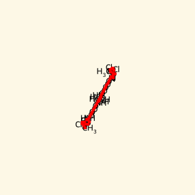 CN1Cc2c(Cl)cc(Cl)cc2[C@H](c2cccc(/C(=C/NCCOCCOCCOCCOCCNC(=O)[C@H](O)[C@@H](O)[C@@H](O)[C@H](O)C(=O)NCOCCOCCOCCOCCOCCn3cc(-c4cccc([C@@H]5CN(C)Cc6c(Cl)cc(Cl)cc65)c4)nn3)N=N)c2)C1